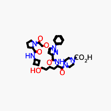 O=C(NC(CCCCO)C(=O)N1CCN(C(=O)O)CC1)c1cc(OCC(=O)N2CCCC2C(=O)NC2CCC2)n(-c2ccccc2)n1